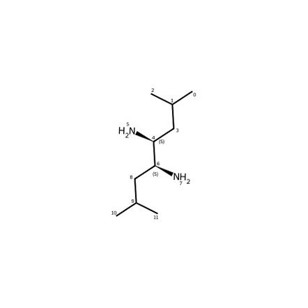 CC(C)C[C@H](N)[C@@H](N)CC(C)C